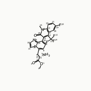 COC(=O)[C@@H](N)Cc1ccc(-c2c(C(F)(F)F)c3cc(F)ccc3n(C)c2=O)c2nccn12